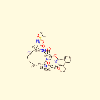 CC[C@@H]1C[C@H](C)CC/C=C\[C@@H]2C[C@@]2(C(=O)NS(=O)(=O)C2(C)CC2)NC(=O)[C@@H]2C[C@@H](Oc3nc4c(c5ccccc35)CCCO4)CN2C(=O)[C@H]1N(C(=O)O)C(C)(C)C